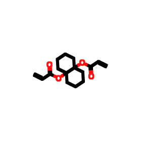 C=CC(=O)OC12CCCCC1(OC(=O)C=C)CCCC2